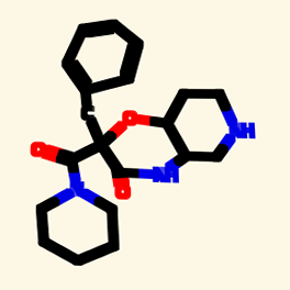 O=C1NC2CNCCC2OC1(Cc1ccccc1)C(=O)N1CCCCC1